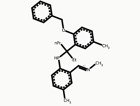 CCCC(CC)(Pc1ccc(C)cc1/C=N/C)c1cc(C)ccc1OCc1ccccc1